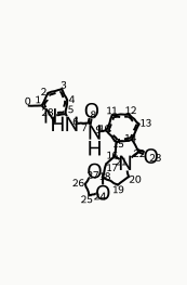 Cc1cccc(NC(=O)Nc2cccc3c2C2CC4(CCN2C3=O)OCCO4)n1